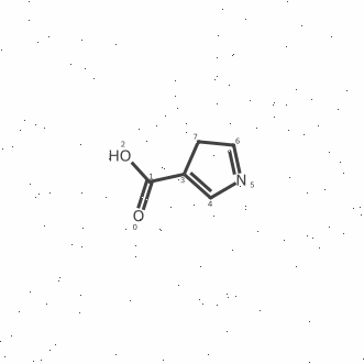 O=C(O)C1=CN=CC1